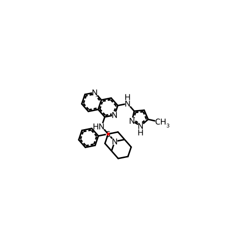 Cc1cc(Nc2cc3ncccc3c(NC3CC4CCCC(C3)N4Sc3ccccc3)n2)n[nH]1